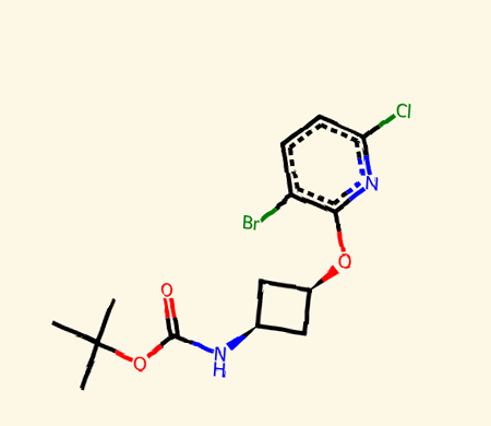 CC(C)(C)OC(=O)N[C@H]1C[C@@H](Oc2nc(Cl)ccc2Br)C1